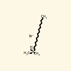 CCCCCCCCCCCCCCCC[N+](C)(C)CC.[Br-]